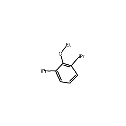 CCOc1c(C(C)C)cccc1C(C)C